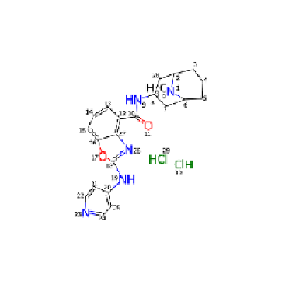 CN1C2CCCC1CC(NC(=O)c1cccc3oc(Nc4ccncc4)nc13)C2.Cl.Cl